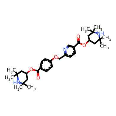 CC1(C)CC(OC(=O)c2ccc(OCc3ccc(C(=O)OC4CC(C)(C)NC(C)(C)C4)cn3)cc2)CC(C)(C)N1